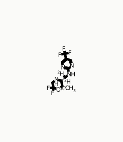 [2H]C([2H])(Nc1ncc(C(F)(F)F)cn1)[C@H]1NCC(F)(F)O[C@H]1C